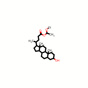 CCOC(C)OC(=O)CCC(C)C1CCC2C3CCC4CC(O)CCC4(C)C3CCC12C